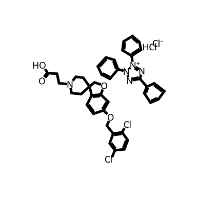 Cl.O=C(O)CCN1CCC2(CC1)COc1cc(OCc3cc(Cl)ccc3Cl)ccc12.[Cl-].c1ccc(-c2nn(-c3ccccc3)[n+](-c3ccccc3)n2)cc1